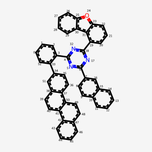 c1ccc(-c2nc(-c3ccc4ccccc4c3)nc(-c3cccc4oc5ccccc5c34)n2)c(-c2ccc3c(ccc4c5ccccc5ccc34)c2)c1